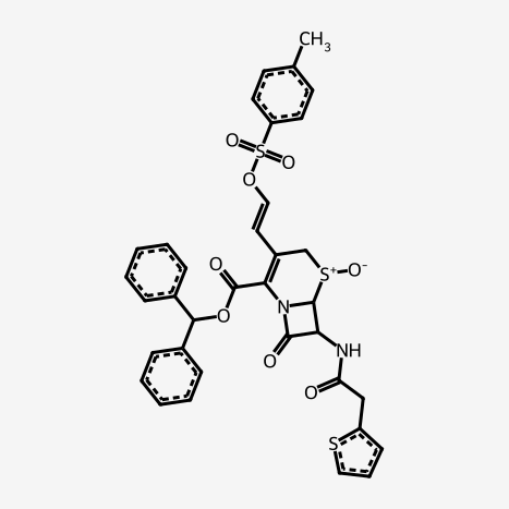 Cc1ccc(S(=O)(=O)O/C=C/C2=C(C(=O)OC(c3ccccc3)c3ccccc3)N3C(=O)C(NC(=O)Cc4cccs4)C3[S+]([O-])C2)cc1